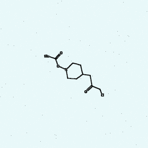 CC(C)(C)C(=O)ON1CCC(CC(=O)CCl)CC1